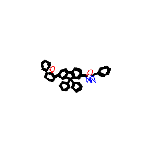 c1ccc(-c2nnc(-c3ccc4c(c3)C(c3ccccc3)(c3ccccc3)c3cc(-c5cccc6c5oc5ccccc56)ccc3-4)o2)cc1